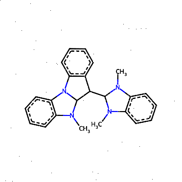 CN1c2ccccc2N(C)C1C1c2ccccc2N2c3ccccc3N(C)C12